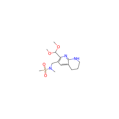 COC(OC)c1nc2c(cc1CN(C)S(C)(=O)=O)CCCN2